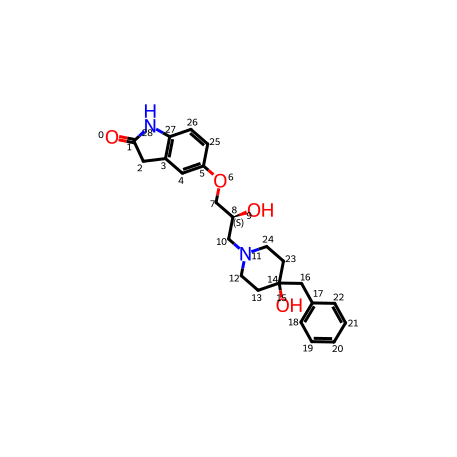 O=C1Cc2cc(OC[C@@H](O)CN3CCC(O)(Cc4ccccc4)CC3)ccc2N1